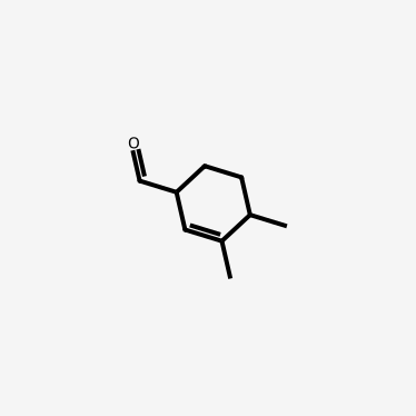 CC1=CC(C=O)CCC1C